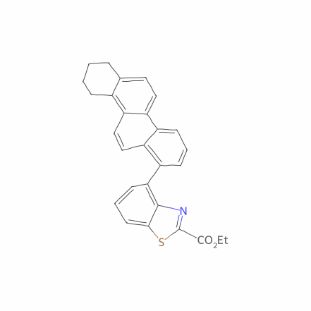 CCOC(=O)c1nc2c(-c3cccc4c3ccc3c5c(ccc34)CCCC5)cccc2s1